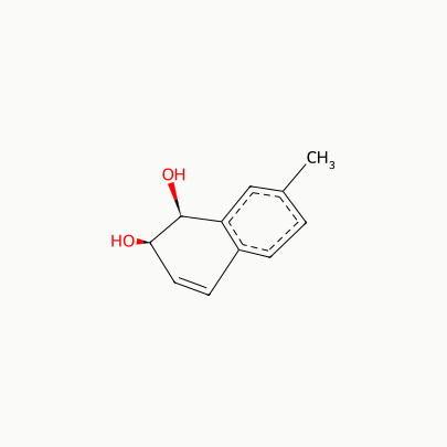 Cc1ccc2c(c1)[C@H](O)[C@H](O)C=C2